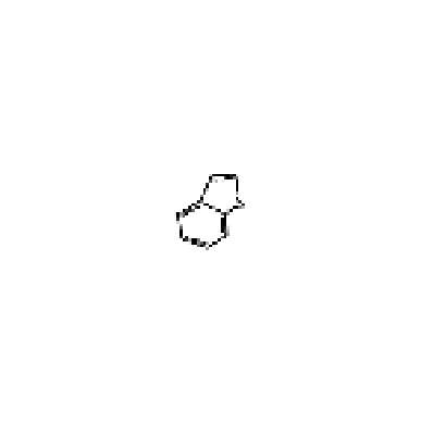 [c]1cc2ccccc2s1